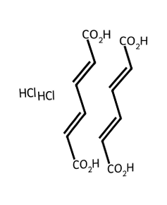 Cl.Cl.O=C(O)C=CC=CC(=O)O.O=C(O)C=CC=CC(=O)O